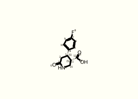 O=C1C[C@H](c2ccc(F)cc2)[C@H](C(=O)O)CN1